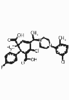 Cc1ccc(Cl)cc1N1CCN(C(C)C2=CC(C)(C(=O)O)C(c3ccc(F)cc3)C(C(=O)O)=C2Cl)CC1